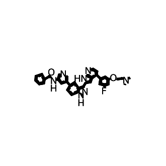 CN(C)CCOc1cc(F)cc(-c2ccnc3[nH]c(-c4n[nH]c5ccc(-c6cncc(NC(=O)c7ccccc7)c6)cc45)cc23)c1